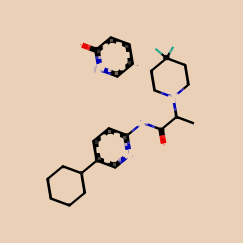 CC(C(=O)Nc1ccc(C2CCCCC2)cn1)N1CCC(F)(F)[C@@H](c2ccc(=O)[nH]c2)C1